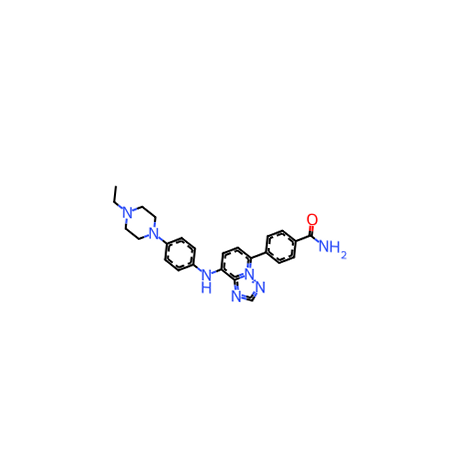 CCN1CCN(c2ccc(Nc3ccc(-c4ccc(C(N)=O)cc4)n4ncnc34)cc2)CC1